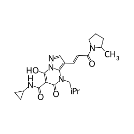 CC(C)Cn1c(=O)c(C(=O)NC2CC2)c(O)n2ncc(C=CC(=O)N3CCCC3C)c12